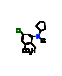 CCN(c1cc(Cl)cc(C(=O)O)c1C)C1CCCC1